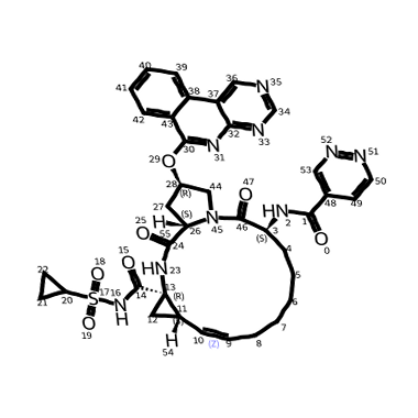 O=C(N[C@H]1CCCCC/C=C\[C@@H]2C[C@@]2(C(=O)NS(=O)(=O)C2CC2)NC(=O)[C@@H]2C[C@@H](Oc3nc4ncncc4c4ccccc34)CN2C1=O)c1ccnnc1